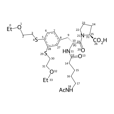 CCOCCSc1ccc(C[C@@H](NC(=O)CCCCNC(C)=O)C(=O)N2CCC[C@H]2C(=O)O)cc1SCCOCC